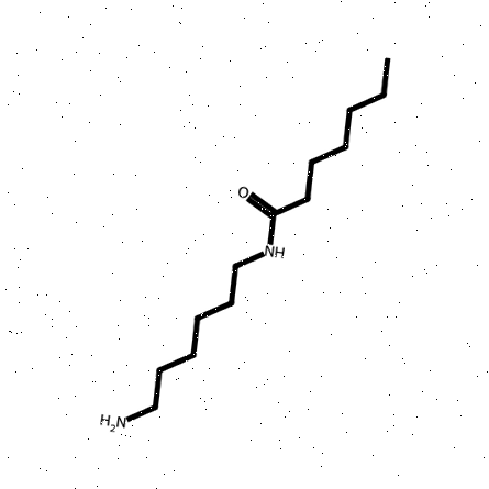 CCCCCCC(=O)NCCCCCCN